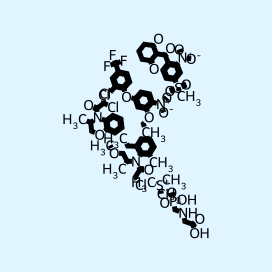 CC1COc2ccccc2N1C(=O)C(Cl)Cl.CCOc1cc(Oc2ccc(C(F)(F)F)cc2Cl)ccc1[N+](=O)[O-].CCc1cccc(C)c1N(C(=O)CCl)C(C)COC.CS(=O)(=O)c1ccc(C(=O)C2C(=O)CCCC2=O)c([N+](=O)[O-])c1.C[S+](C)C.O=C(O)CNCP(=O)([O-])O